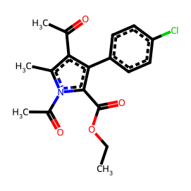 CCOC(=O)c1c(-c2ccc(Cl)cc2)c(C(C)=O)c(C)n1C(C)=O